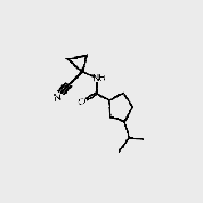 CC(C)C1CCC(C(=O)NC2(C#N)CC2)C1